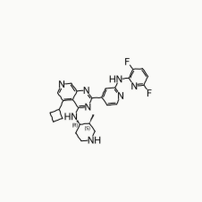 C[C@H]1CNCC[C@H]1Nc1nc(-c2ccnc(Nc3nc(F)ccc3F)c2)nc2cncc(C3CCC3)c12